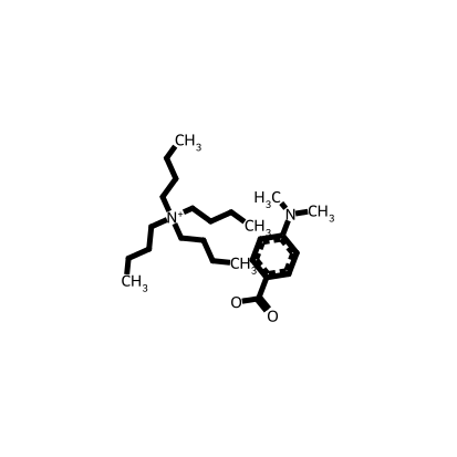 CCCC[N+](CCCC)(CCCC)CCCC.CN(C)c1ccc(C(=O)[O-])cc1